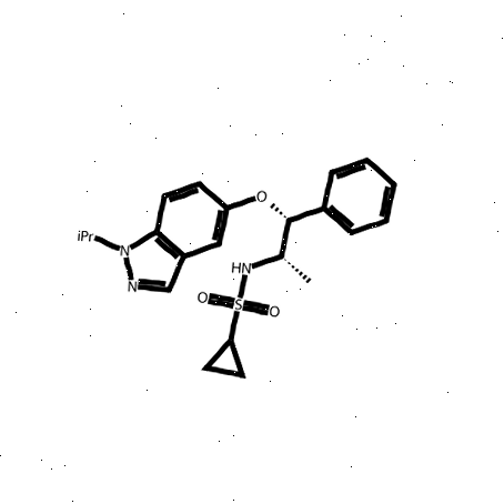 CC(C)n1ncc2cc(O[C@H](c3ccccc3)[C@H](C)NS(=O)(=O)C3CC3)ccc21